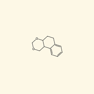 c1ccc2c(c1)CCC1OCOCC21